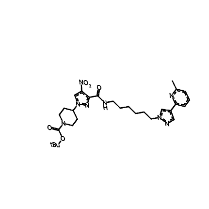 Cc1cccc(-c2cnn(CCCCCCNC(=O)c3nn(C4CCN(C(=O)OC(C)(C)C)CC4)cc3[N+](=O)[O-])c2)n1